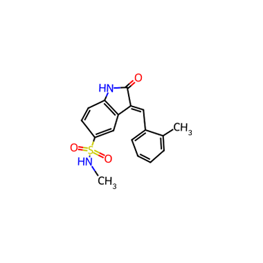 CNS(=O)(=O)c1ccc2c(c1)C(=Cc1ccccc1C)C(=O)N2